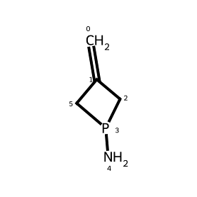 C=C1CP(N)C1